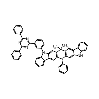 CC1(C)c2cc3c(cc2N(c2ccccc2)c2cc4c5ccccc5n(-c5cccc(-c6nc(-c7ccccc7)nc(-c7ccccc7)n6)c5)c4cc21)[nH]c1ccccc13